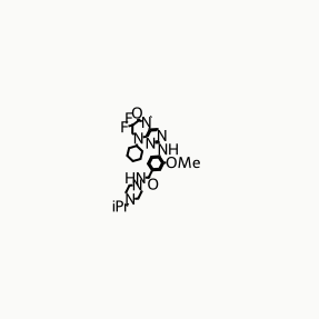 COc1cc(C(=O)NN2CCN(C(C)C)CC2)ccc1Nc1ncc2c(n1)N(C1CCCCC1)CC(F)(F)C(=O)N2C